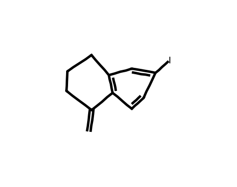 C=C1CCCc2cc(I)ccc21